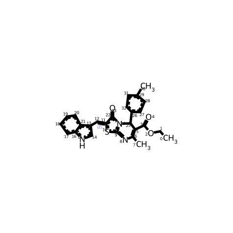 CCOC(=O)C1=C(C)N=c2s/c(=C\c3c[nH]c4ccccc34)c(=O)n2C1c1ccc(C)cc1